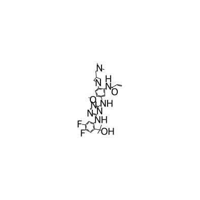 C=CC(=O)Nc1cc(Nc2ncnc(Nc3cc(F)c(F)cc3C(C)(C)O)n2)c(OC)cc1N1CC(CN(C)C)C1